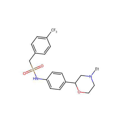 CCN1CCOC(c2ccc(NS(=O)(=O)Cc3ccc(C(F)(F)F)cc3)cc2)C1